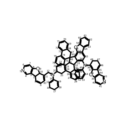 C1=CC2c3cnccc3OC2C(CN(C2=CCCC=C2)C2C=CC3=C(C2)c2ccccc2C2c4c(N(C5=c6oc7ccncc7c6=CCC5)c5ccccc5)cc5c(oc6ccccc65)c4C4(Cc5ccccc5C5=C4CCC=C5)C32)=C1